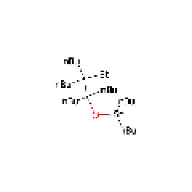 CCC[CH2][Sn]([CH2]CCC)[O]C(CCCC)(CCCC)C(CC)(CCCC)CCCC